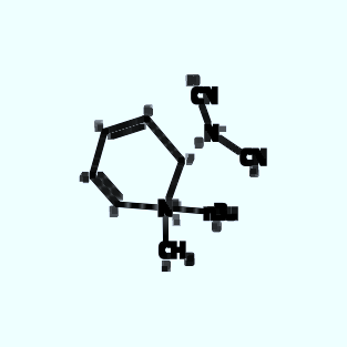 CCCC[N+]1(C)C=CC=CC1.N#C[N-]C#N